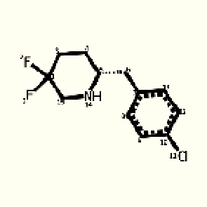 FC1(F)CC[C@H](Cc2ccc(Cl)cc2)NC1